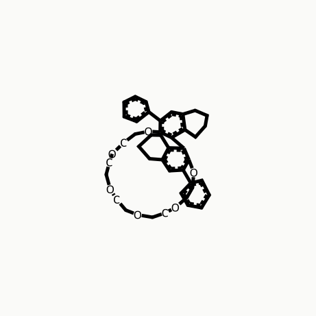 c1ccc(-c2cc3c(c4c2OCCOCCOCCOCCOCCOc2c(-c5ccccc5)cc5c(c2-4)CCCC5)CCCC3)cc1